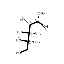 [2H][C@](O)([C@H](O)[C@@H](O)C=O)[C@]([2H])(O)CO